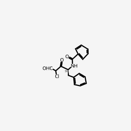 O=CC(Cl)C(=O)[C@H](Cc1ccccc1)NC(=O)c1ccccc1